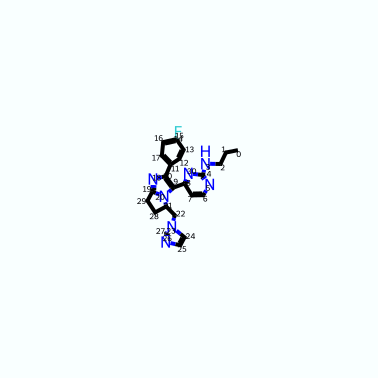 CCCNc1nccc(-c2c(-c3ccc(F)cc3)nc3n2C(Cn2ccnc2)CC3)n1